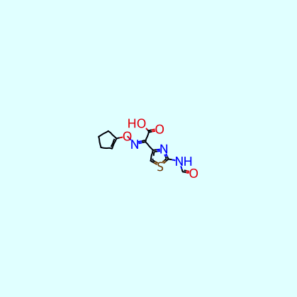 O=CNc1nc(C(=NOC2=CCCC2)C(=O)O)cs1